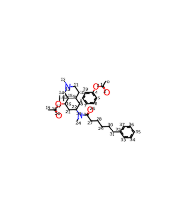 CC(=O)Oc1cccc([C@@]23CCN(C)C[C@H]2C(OC(C)=O)C[C@H](N(C)C(=O)CCCCCc2ccccc2)C3)c1